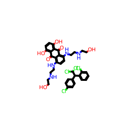 Clc1ccc(C(c2ccccc2Cl)C(Cl)Cl)cc1.O=C1c2c(O)ccc(O)c2C(=O)c2c(NCCNCCO)ccc(NCCNCCO)c21